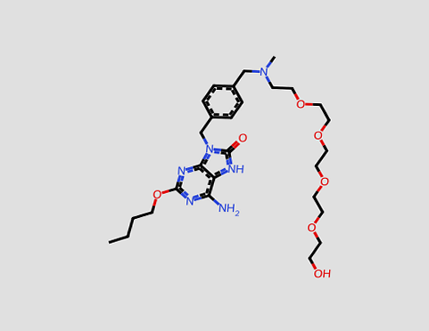 CCCCOc1nc(N)c2[nH]c(=O)n(Cc3ccc(CN(C)CCOCCOCCOCCOCCO)cc3)c2n1